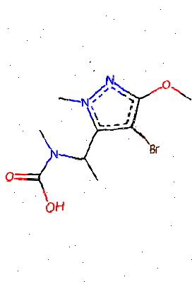 COc1nn(C)c(C(C)N(C)C(=O)O)c1Br